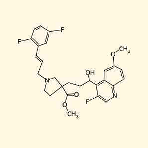 COC(=O)C1(CCC(O)c2c(F)cnc3ccc(OC)cc23)CCN(C/C=C/c2cc(F)ccc2F)C1